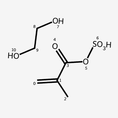 C=C(C)C(=O)OS(=O)(=O)O.OCCO